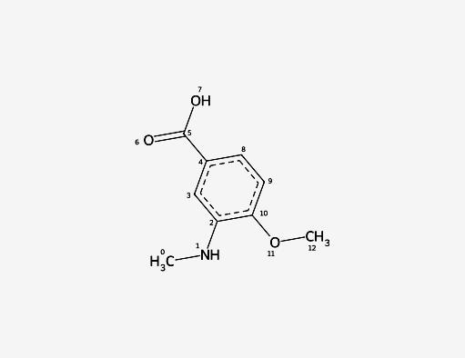 CNc1cc(C(=O)O)ccc1OC